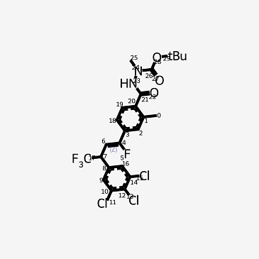 Cc1cc(/C(F)=C/C(c2cc(Cl)c(Cl)c(Cl)c2)C(F)(F)F)ccc1C(=O)NN(C)C(=O)OC(C)(C)C